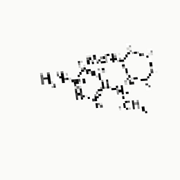 CN[C@H]1CCCC[C@@H]1N(C)c1ccc(N)nc1